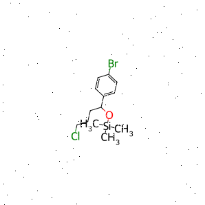 C[Si](C)(C)OC(CCCCl)c1ccc(Br)cc1